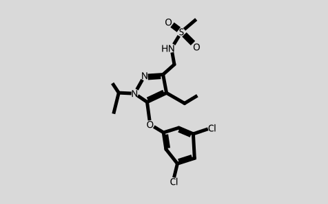 CCc1c(CNS(C)(=O)=O)nn(C(C)C)c1Oc1cc(Cl)cc(Cl)c1